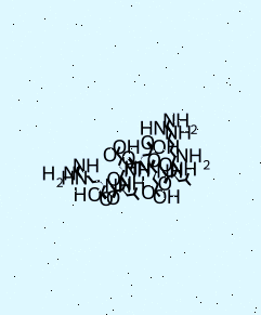 CC(C)C[C@H](NC(=O)[C@H](CCC(=O)O)NC(=O)[C@H](CCC(=O)O)NC(=O)[C@H](CCC(=O)O)NC(=O)[C@H](CC(C)C)NC(=O)[C@@H](N)CCCNC(=N)N)C(=O)N[C@@H](CCCNC(=N)N)C(=O)O